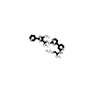 COCC(C)Nc1cc(-c2ccnc(O/N=C(\C)c3sc(-c4cccnc4)nc3C)n2)ccn1